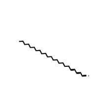 [CH]=CC=CC=CCCCCCCCCCCCCCCCCCC